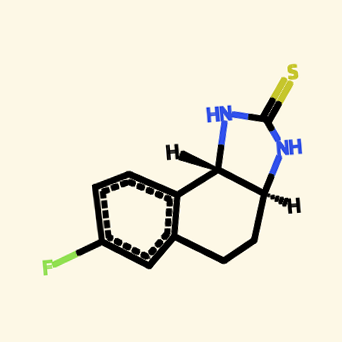 Fc1ccc2c(c1)CC[C@@H]1NC(=S)N[C@@H]21